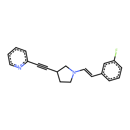 Fc1cccc(C=CN2CCC(C#Cc3ccccn3)C2)c1